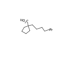 CC(C)CCCCC1(C(=O)O)CCCC1